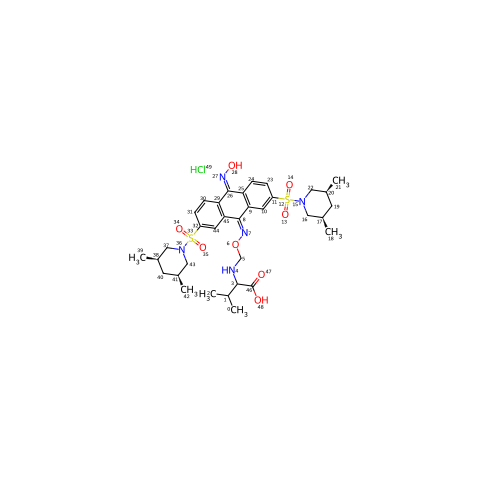 CC(C)C(NCON=C1c2cc(S(=O)(=O)N3C[C@H](C)C[C@H](C)C3)ccc2C(=NO)c2ccc(S(=O)(=O)N3C[C@H](C)C[C@H](C)C3)cc21)C(=O)O.Cl